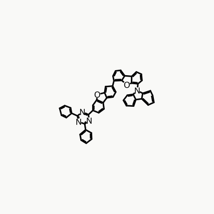 c1ccc(-c2nc(-c3ccccc3)nc(-c3ccc4c(c3)oc3cc(-c5cccc6c5oc5c(-n7c8ccccc8c8ccccc87)cccc56)ccc34)n2)cc1